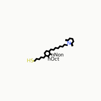 C=C1CCCC(=C)N1CCCCCCCCC1CCC(CCCCCS)C(CCCCCCCC)C1CCCCCCCCC